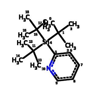 C[C](C)(C)[Sn]([c]1ccccn1)([C](C)(C)C)[C](C)(C)C